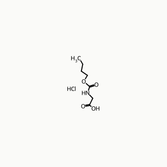 CCCCOC(=O)NCC(=O)O.Cl